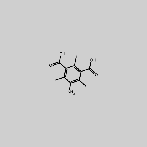 Cc1c(N)c(I)c(C(=O)O)c(I)c1C(=O)O